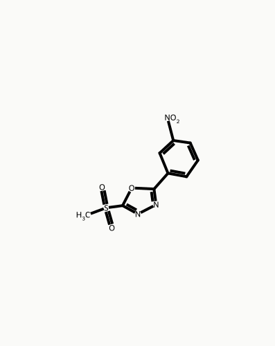 CS(=O)(=O)c1nnc(-c2cccc([N+](=O)[O-])c2)o1